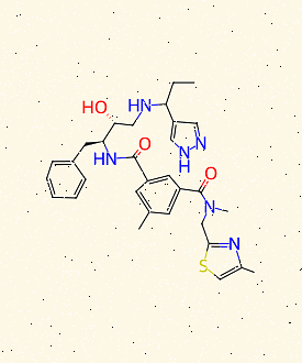 CCC(NC[C@@H](O)[C@H](Cc1ccccc1)NC(=O)c1cc(C)cc(C(=O)N(C)Cc2nc(C)cs2)c1)c1cn[nH]c1